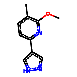 COc1nc(-c2cn[nH]c2)ccc1C